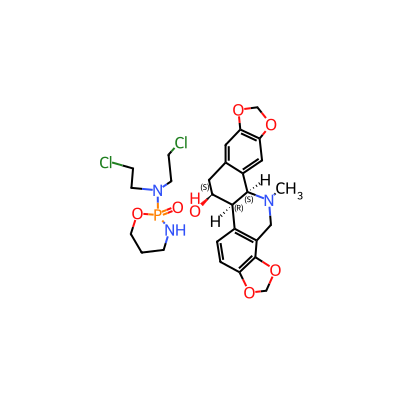 CN1Cc2c(ccc3c2OCO3)[C@@H]2[C@H]1c1cc3c(cc1C[C@@H]2O)OCO3.O=P1(N(CCCl)CCCl)NCCCO1